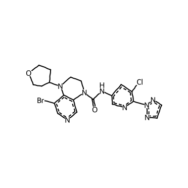 O=C(Nc1cnc(-n2nccn2)c(Cl)c1)N1CCN(C2CCOCC2)c2c(Br)cncc21